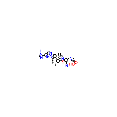 Cc1c(Nc2nccc3cc(C4=NCCN4)cnc23)cccc1-c1cccc(-c2nc3cc(CN4CC[C@@H](C(=O)O)C4)cc(C#N)c3o2)c1C